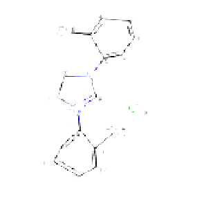 CCc1ccccc1N1C=[N+](c2ccccc2CC)CC1.[Cl-]